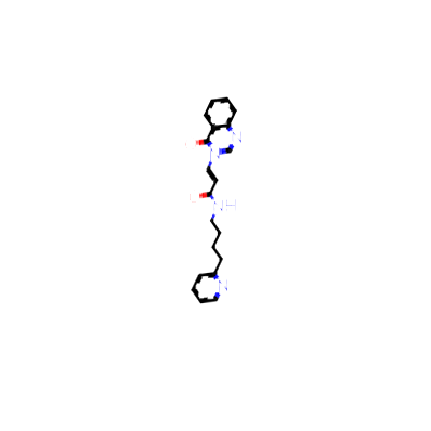 O=C(C=Cn1cnc2ccccc2c1=O)NCCCCc1ccccn1